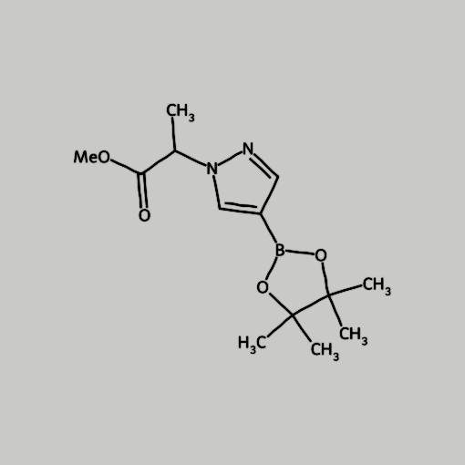 COC(=O)C(C)n1cc(B2OC(C)(C)C(C)(C)O2)cn1